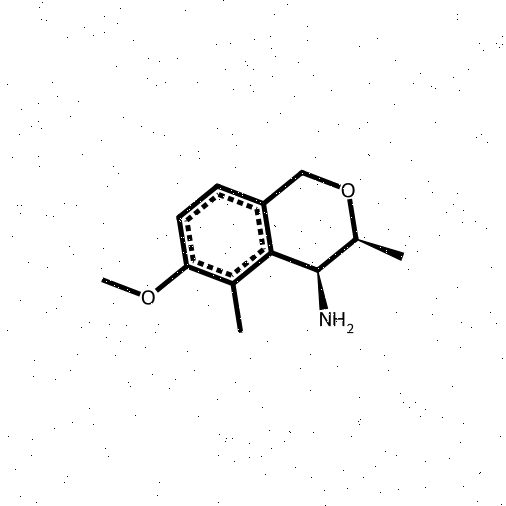 COc1ccc2c(c1C)[C@H](N)[C@H](C)OC2